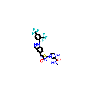 CNC(=O)[C@H]1CN(C2=NC(=O)/C(=C/c3ccc4c(cnn4Cc4ccc(C(F)(F)F)cc4C(F)(F)F)c3)S2)CCN1